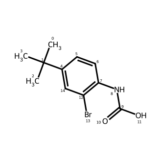 CC(C)(C)c1ccc(NC(=O)O)c(Br)c1